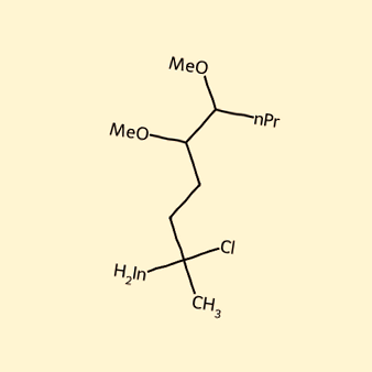 CCCC(OC)C(CC[C](C)(Cl)[InH2])OC